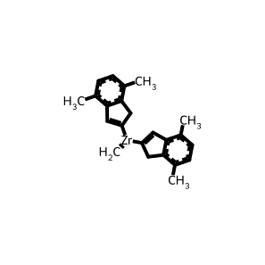 [CH2]=[Zr]([C]1=Cc2c(C)ccc(C)c2C1)[C]1=Cc2c(C)ccc(C)c2C1